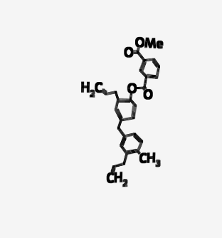 C=CCc1cc(Cc2ccc(OC(=O)c3cccc(C(=O)OC)c3)c(CC=C)c2)ccc1C